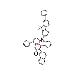 CC1(C)c2cc(-c3ccccc3)ccc2-c2ccc(N(c3ccc(-c4ccccc4)cc3)c3ccccc3-c3cccc4oc5c6ccccc6ccc5c34)cc21